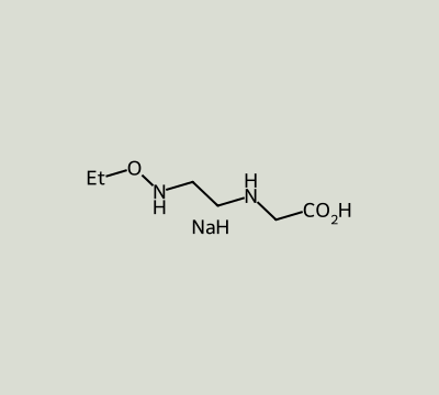 CCONCCNCC(=O)O.[NaH]